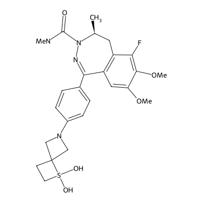 CNC(=O)N1N=C(c2ccc(N3CC4(CCS4(O)O)C3)cc2)c2cc(OC)c(OC)c(F)c2C[C@@H]1C